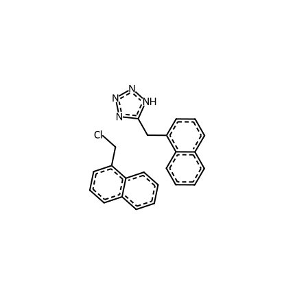 ClCc1cccc2ccccc12.c1ccc2c(Cc3nnn[nH]3)cccc2c1